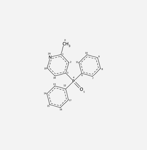 Cc1cc(P(=O)(c2ccccc2)c2ccccc2)ccn1